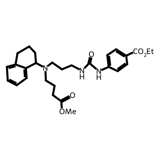 CCOC(=O)c1ccc(NC(=O)NCCCN(CCCC(=O)OC)C2CCCc3ccccc32)cc1